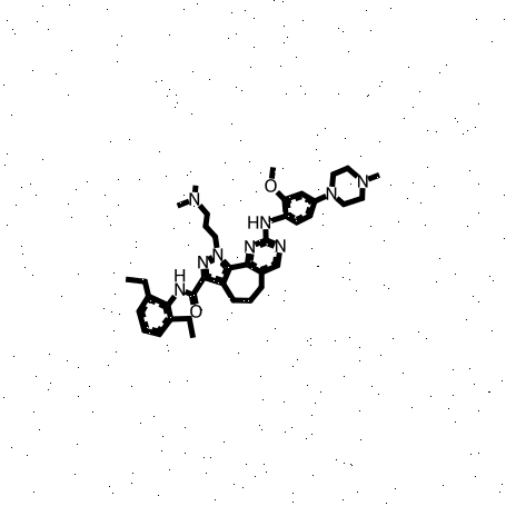 CCc1cccc(CC)c1NC(=O)c1nn(CCCN(C)C)c2c1CCCc1cnc(Nc3ccc(N4CCN(C)CC4)cc3OC)nc1-2